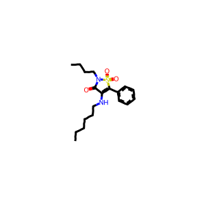 CCCCCCNC1=C(c2ccccc2)S(=O)(=O)N(CCCC)C1=O